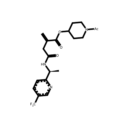 C=C(CC(=O)N[C@@H](C)c1ccc(C(F)(F)F)cn1)C(=O)OC1CCN(C(C)=O)CC1